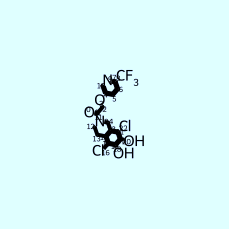 O=C(COc1ccc(C(F)(F)F)nc1)N1CCc2c(Cl)c(O)c(O)c(Cl)c2C1